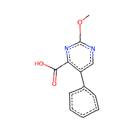 COc1ncc(-c2ccccc2)c(C(=O)O)n1